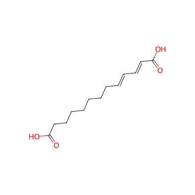 O=C(O)C=CC=CCCCCCCCC(=O)O